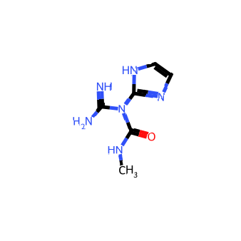 CNC(=O)N(C(=N)N)c1ncc[nH]1